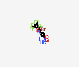 COC(=N)NC(=O)c1ccc(C2=NOC(c3cc(C(F)(F)F)cc(C(F)(F)F)c3)(C(F)(F)F)C2Br)cc1